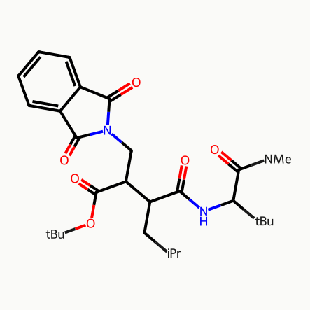 CNC(=O)C(NC(=O)C(CC(C)C)C(CN1C(=O)c2ccccc2C1=O)C(=O)OC(C)(C)C)C(C)(C)C